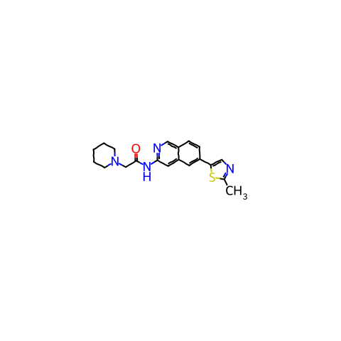 Cc1ncc(-c2ccc3cnc(NC(=O)CN4CCCCC4)cc3c2)s1